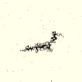 Cc1ncsc1-c1ccc(CCNC(=O)[C@@H]2C[C@@H](O)CN2C(=O)C(C)(C)[C@H](C)NC(=O)COCCCCC(=O)O)cc1